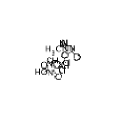 CN1C(=O)C(O)N=C(c2ccccc2Cl)c2cc(Cl)ccc21.Cc1nnc2n1-c1ccc(Cl)cc1C(c1ccccc1)=NC2